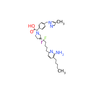 CCCCCc1ccc(CCCCC(F)(I)[C@@H]2CCN(C(C(=O)O)c3ccc(Cn4cc(C)cn4)cc3)C2)nc1N